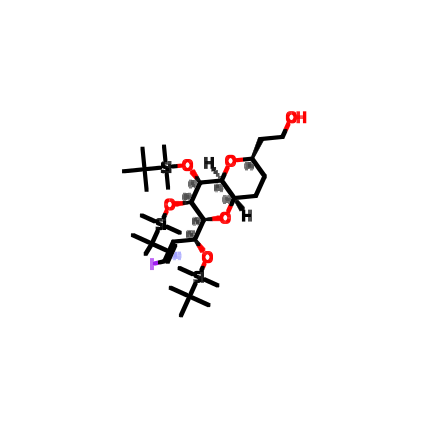 CC(C)(C)[Si](C)(C)O[C@@H]1[C@H](O[Si](C)(C)C(C)(C)C)[C@H]([C@H](/C=C/I)O[Si](C)(C)C(C)(C)C)O[C@H]2CC[C@H](CCO)O[C@H]12